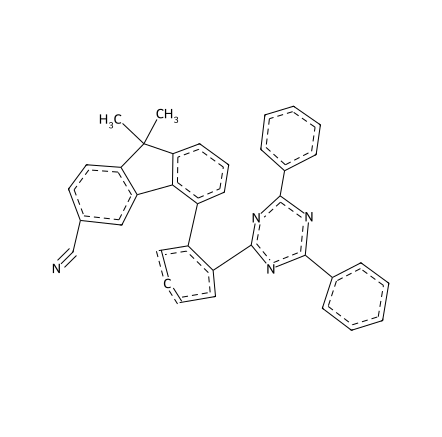 CC1(C)c2ccc(C#N)cc2-c2c(-c3ccccc3-c3nc(-c4ccccc4)nc(-c4ccccc4)n3)cccc21